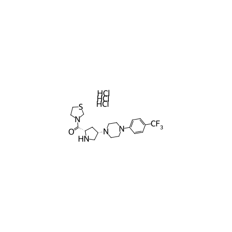 Cl.Cl.Cl.O=C([C@@H]1C[C@H](N2CCN(c3ccc(C(F)(F)F)cc3)CC2)CN1)N1CCSC1